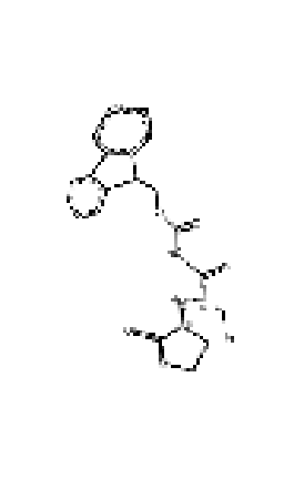 CC(C)C[C@H](N[C@H]1CCOC1=O)C(=O)NC(=O)OCC1c2ccccc2-c2ccccc21